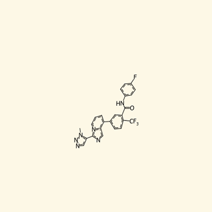 Cn1nncc1-c1ncc2c(-c3ccc(C(F)(F)F)c(C(=O)Nc4ccc(F)cc4)c3)cccn12